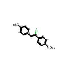 CCCCCCCCc1ccc(/C(Cl)=C/c2ccc(CCCC)cc2)cc1